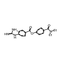 CCN(CC)C(=O)c1ccc(OC(=O)c2ccc(NC(=N)N)cc2)cc1